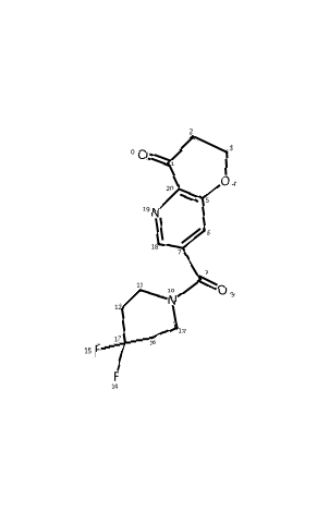 O=C1CCOc2cc(C(=O)N3CCC(F)(F)CC3)cnc21